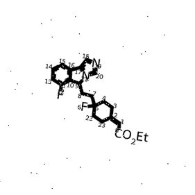 CCOC(=O)C=C1CCC(F)(CCC2c3c(F)cccc3-c3cncn32)CC1